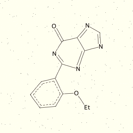 CCOc1ccccc1C1=NC(=O)C2=NC=NC2=N1